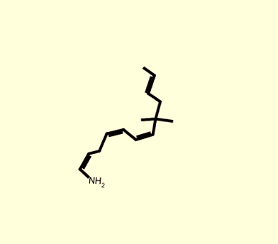 CC=CCC(C)(C)/C=C\C=C/C/C=C\N